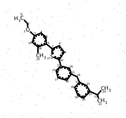 CCOc1ccc(-c2ccc(-c3cccc(Cc4cccc(C(C)C)c4)c3)s2)c(C)c1